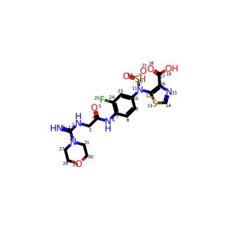 N=C(NCC(=O)Nc1ccc(N(c2scnc2C(=O)O)[SH](=O)=O)cc1F)N1CCOCC1